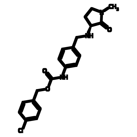 CN1CC[C@H](NCc2ccc(NC(=O)OCc3ccc(Cl)cc3)cc2)C1=O